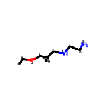 CCOC[SiH2]CNCCN